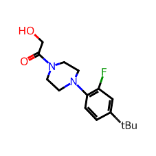 CC(C)(C)c1ccc(N2CCN(C(=O)CO)CC2)c(F)c1